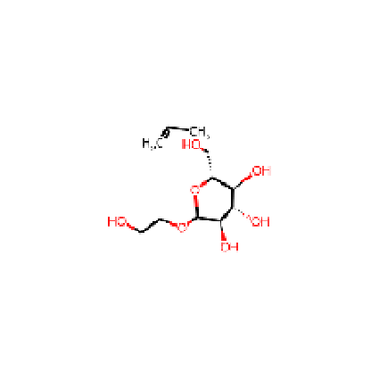 C=CC.OCCOC1O[C@H](CO)[C@@H](O)[C@H](O)[C@H]1O